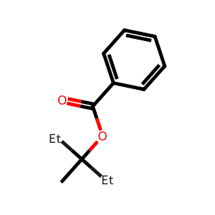 CCC(C)(CC)OC(=O)c1ccccc1